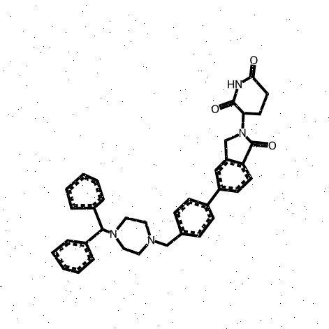 O=C1CCC(N2Cc3cc(-c4ccc(CN5CCN(C(c6ccccc6)c6ccccc6)CC5)cc4)ccc3C2=O)C(=O)N1